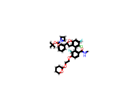 CNC(=O)c1ccc(OCCOC2CCCCO2)c(F)c1-c1c(Cl)c(F)cc2c1C[C@](c1ccccc1)(C1CCN1C(=O)OC(C)(C)C)O2